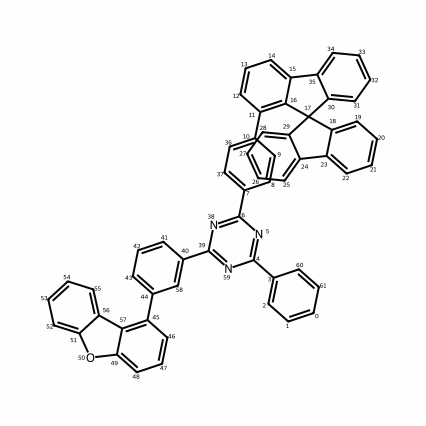 c1ccc(-c2nc(-c3ccc(-c4cccc5c4C4(c6ccccc6-c6ccccc64)c4ccccc4-5)cc3)nc(-c3cccc(-c4cccc5oc6ccccc6c45)c3)n2)cc1